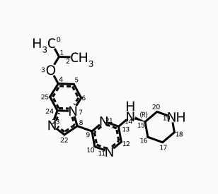 CC(C)Oc1ccn2c(-c3cncc(N[C@@H]4CCCNC4)n3)cnc2c1